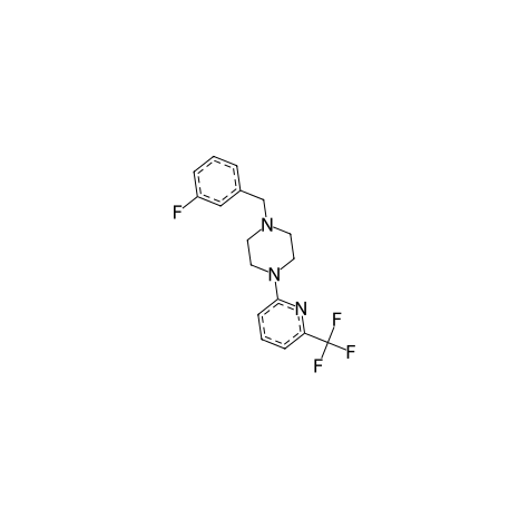 Fc1cccc(CN2CCN(c3cccc(C(F)(F)F)n3)CC2)c1